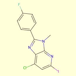 Cn1c(-c2ccc(F)cc2)nc2c(Cl)cc(I)nc21